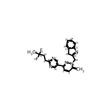 C=C1C=CC(c2cnc(CCC(C)(F)F)nc2)=NN1CC1=Nc2ccccc2C1